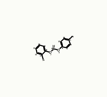 Cc1ccc(OBOc2ccccc2C)cc1